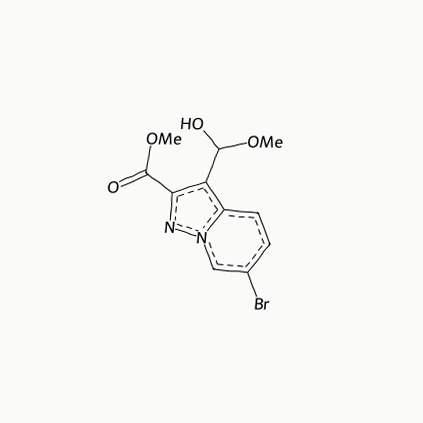 COC(=O)c1nn2cc(Br)ccc2c1C(O)OC